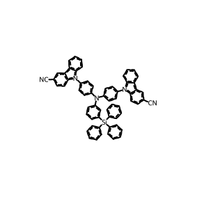 N#Cc1ccc2c(c1)c1ccccc1n2-c1ccc(N(c2ccc(-n3c4ccccc4c4cc(C#N)ccc43)cc2)c2cccc([Si](c3ccccc3)(c3ccccc3)c3ccccc3)c2)cc1